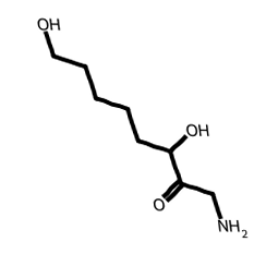 NCC(=O)C(O)CCCCCO